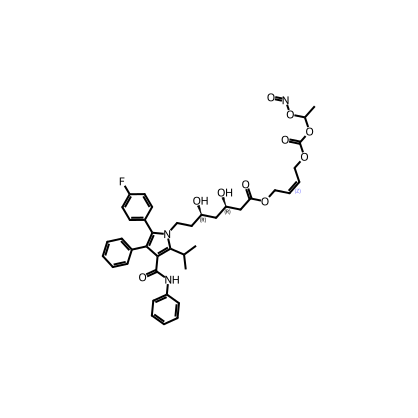 CC(ON=O)OC(=O)OC/C=C\COC(=O)C[C@H](O)C[C@H](O)CCn1c(-c2ccc(F)cc2)c(-c2ccccc2)c(C(=O)Nc2ccccc2)c1C(C)C